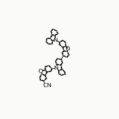 N#Cc1ccc2oc3ccc(-n4c5ccccc5c5cc(-c6ccc7oc8ccc(-n9c%10ccccc%10c%10ccccc%109)cc8c7c6)ccc54)cc3c2c1